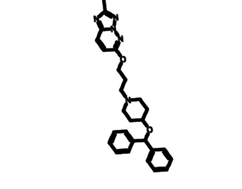 Cc1nc2ccc(OCCCN3CCC(OC(c4ccccc4)c4ccccc4)CC3)nn2n1